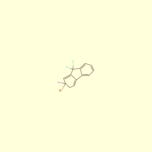 FC1(F)C2=CC(Br)(I)CC=C2c2ccccc21